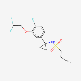 CCCS(=O)(=O)NC1(c2ccc(F)c(OCC(F)F)c2)CC1